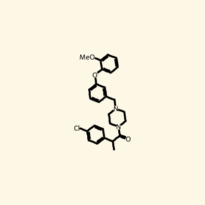 COc1ccccc1Oc1cccc(CN2CCN(C(=O)C(C)c3ccc(Cl)cc3)CC2)c1